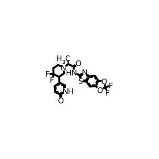 C[C@@H](C(=O)Nc1nc2cc3c(cc2s1)OC(F)(F)O3)N1CCC(F)(F)C(c2ccc(=O)[nH]c2)C1